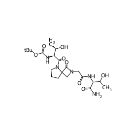 CC(O)C(NC(=O)CN1CC2(CCCN2C(=O)[C@@H](NC(=O)OC(C)(C)C)[C@@H](C)O)C1=O)C(N)=O